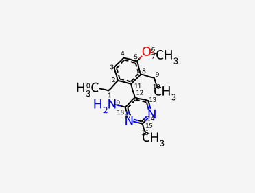 CCc1ccc(OC)c(CC)c1-c1cnc(C)nc1N